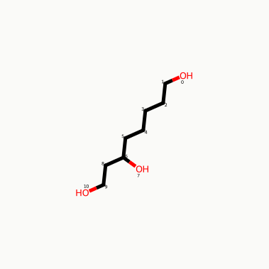 OCCCC[CH]C(O)CCO